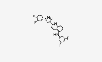 Fc1cc(I)cc(Nc2cccc3nc(-c4cn(-c5ccc(F)c(F)c5)nn4)ccc23)c1